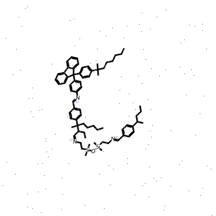 CCCCCCC(C)(C)c1ccc(C2(c3ccc(/N=C/c4ccc(C(C)(CCCCC)C(/C=N\CC[Si](C)(C)O[Si](C)(C)CC/N=C/c5ccc(C(C)CCC)cc5)CC)cc4)cc3)c3ccccc3-c3ccccc32)cc1